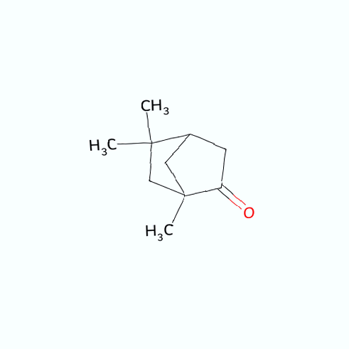 CC12CC(CC1=O)C(C)(C)C2